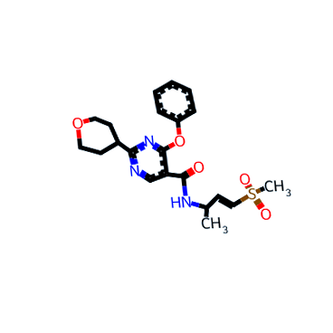 CC(C=CS(C)(=O)=O)NC(=O)c1cnc(C2CCOCC2)nc1Oc1ccccc1